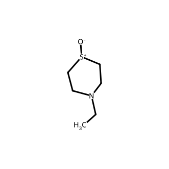 CCN1CC[S+]([O-])CC1